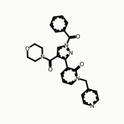 O=C(c1cn(C(=O)c2ccccc2)nc1-c1cccn(Cc2ccncc2)c1=O)N1CCOCC1